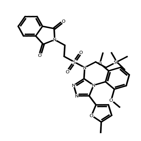 COc1cccc(OC)c1-n1c(-c2ccc(C)o2)nnc1N(CC[Si](C)(C)C)S(=O)(=O)CCN1C(=O)c2ccccc2C1=O